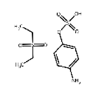 CCS(=O)(=O)CC.Nc1ccc(OS(=O)(=O)O)cc1